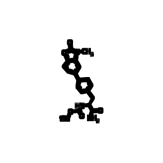 Cn1c(=O)oc2ccc(-c3ccc(C[C@H](NC(=O)OC(C)(C)C)C(N)=O)cc3)cc21